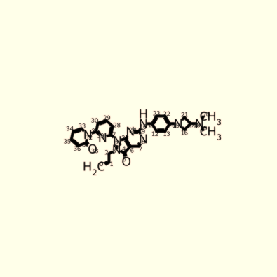 C=CCn1c(=O)c2cnc(Nc3ccc(N4CC(N(C)C)C4)cc3)nc2n1-c1cccc(-n2ccccc2=O)n1